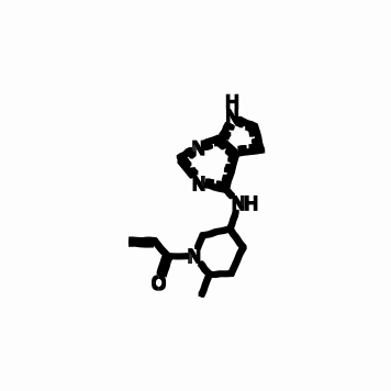 C=CC(=O)N1CC(Nc2ncnc3[nH]ccc23)CCC1C